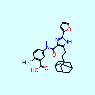 Cc1ccc(NC(=O)c2nc(-c3ccco3)[nH]c2CCC23CC4CC(CC(C4)C2)C3)cc1C(=O)O